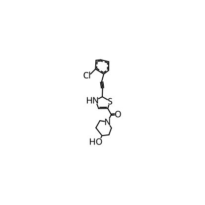 O=C(C1=CNC(C#Cc2ccccc2Cl)S1)N1CCC(O)CC1